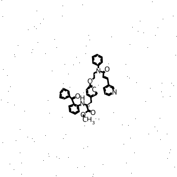 COC(=O)[C@H](Cc1ccc(OCCN(C(=O)C=Cc2cccnc2)c2ccccc2)cc1)Nc1ccccc1C(=O)c1ccccc1